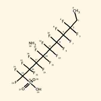 CCC(F)(F)C(F)(F)C(F)(F)C(F)(F)C(F)(F)C(F)(F)C(F)(F)C(F)(F)S(=O)(=O)O.N